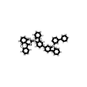 c1ccc(-c2cccc(-n3c4ccccc4c4ccc(-c5ccc6c(c5)c5ccccc5n6-c5nc6c7c(cccc7n5)Oc5ccccc5-6)cc43)c2)cc1